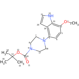 COc1ccc(N2CCN(C(=O)OC(C)(C)C)CC2)c2cc[nH]c12